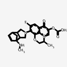 CNC12C=CC(C1)C1CN(c3c(F)cc4c(=O)c(OC(=O)O)cn5c4c3OCC5C)CC12